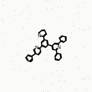 c1cccc(-c2ccc(-c3cc(-c4cc(-c5ccccc5)nc(-c5ccccc5)c4)cc(-c4ccccn4)c3)nc2)c#1